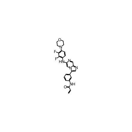 C=CC(=O)Nc1cccc(-c2cnc3cnc(Nc4ccc(N5CCOCC5)c(F)c4F)cn23)c1